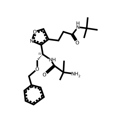 CC(C)(C)NC(=O)CCc1conc1[C@@H](COCc1ccccc1)NC(=O)C(C)(C)N